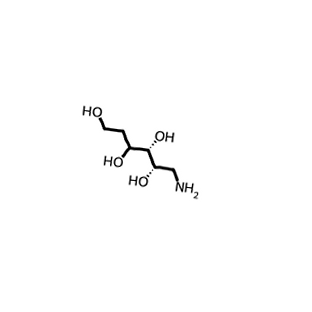 NC[C@H](O)[C@@H](O)C(O)CCO